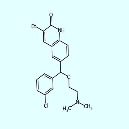 CCc1cc2cc(C(OCCN(C)C)c3cccc(Cl)c3)ccc2[nH]c1=O